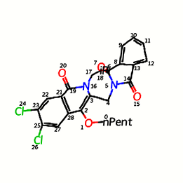 CCCCCOc1c(CN2C(=O)c3ccccc3C2=O)n(CC(C)C)c(=O)c2cc(Cl)c(Cl)cc12